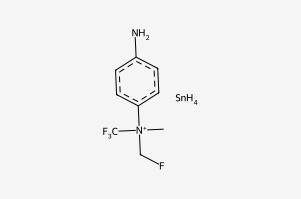 C[N+](CF)(c1ccc(N)cc1)C(F)(F)F.[SnH4]